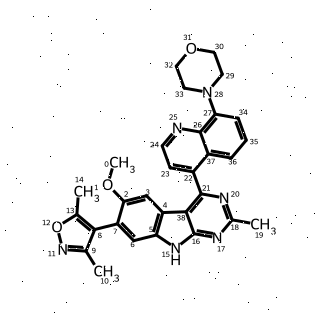 COc1cc2c(cc1-c1c(C)noc1C)[nH]c1nc(C)nc(-c3ccnc4c(N5CCOCC5)cccc34)c12